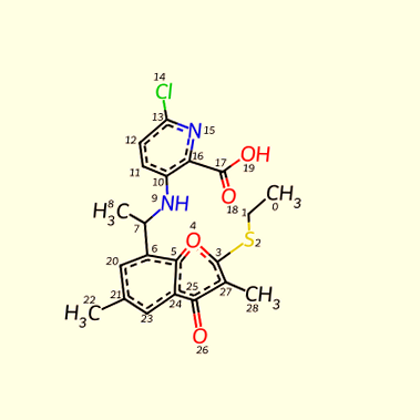 CCSc1oc2c(C(C)Nc3ccc(Cl)nc3C(=O)O)cc(C)cc2c(=O)c1C